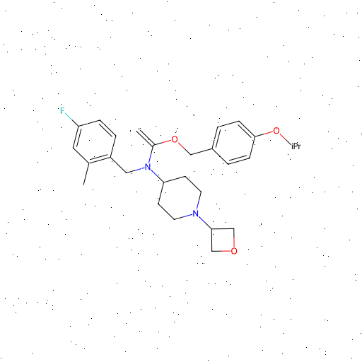 C=C(OCc1ccc(OC(C)C)cc1)N(Cc1ccc(F)cc1C)C1CCN(C2COC2)CC1